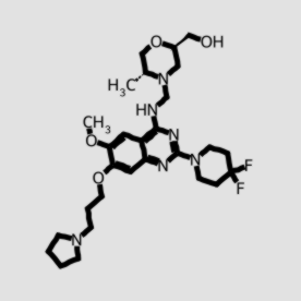 COc1cc2c(NCN3C[C@H](CO)OC[C@H]3C)nc(N3CCC(F)(F)CC3)nc2cc1OCCCN1CCCC1